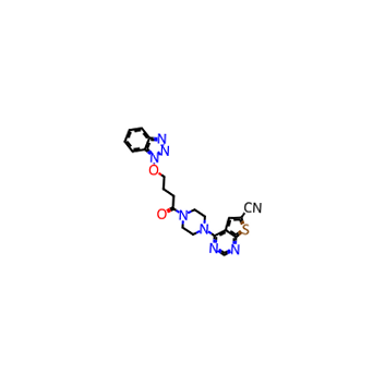 N#Cc1cc2c(N3CCN(C(=O)CCCOn4nnc5ccccc54)CC3)ncnc2s1